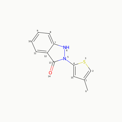 Cc1csc(-n2[nH]c3ccccc3c2=O)c1